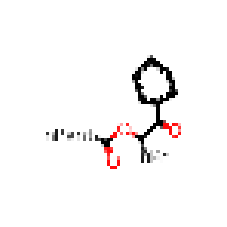 CCCCCC(=O)OC(CCC)C(=O)c1ccccc1